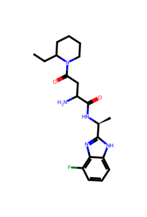 CCC1CCCCN1C(=O)CC(N)C(=O)N[C@@H](C)c1nc2c(F)cccc2[nH]1